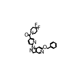 O=C(c1ccc(-n2ncc3cnc(OCc4ccccc4)cc32)nc1)N1CCC(F)(F)CC1